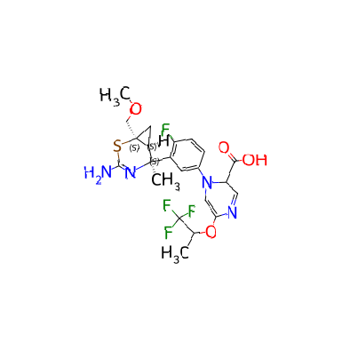 COC[C@]12C[C@H]1[C@@](C)(c1cc(N3C=C(OC(C)C(F)(F)F)N=CC3C(=O)O)ccc1F)N=C(N)S2